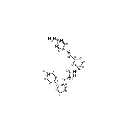 CN1CCN(c2ccccc2CNC(=O)Nc2cccc(C#Cc3cnc(N)nc3)c2)CC1